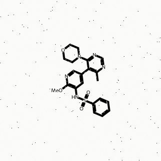 COc1ncc(-c2c(C)ncnc2N2CCOCC2)cc1NS(=O)(=O)c1ccccc1